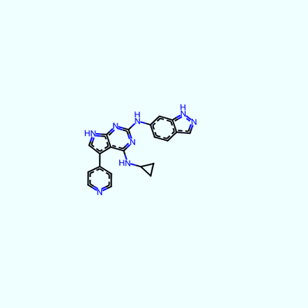 c1cc(-c2c[nH]c3nc(Nc4ccc5cn[nH]c5c4)nc(NC4CC4)c23)ccn1